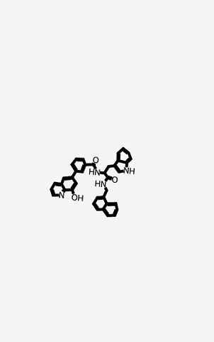 O=C(NC(Cc1c[nH]c2ccccc12)C(=O)NCc1cccc2ccccc12)c1cccc(-c2cc(O)c3ncccc3c2)c1